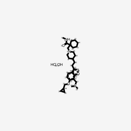 CNC(=O)C1(CN2CCC(CCc3noc4c(CN(C)C)c(OCC5CC5)ccc34)CC2)CCCCC1.Cl.Cl